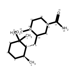 C[C@H]1CCCC(C)(C)[C@@H]1CC1CN(C(N)=O)CCN1C(=O)O